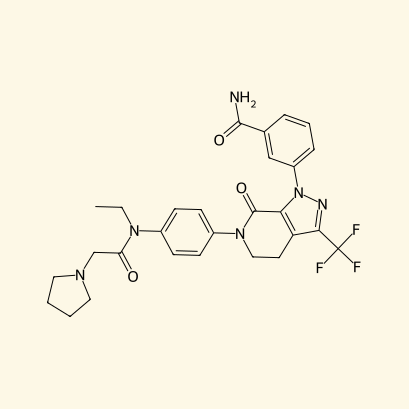 CCN(C(=O)CN1CCCC1)c1ccc(N2CCc3c(C(F)(F)F)nn(-c4cccc(C(N)=O)c4)c3C2=O)cc1